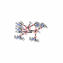 CCCCC(CCCc1ccc(CCCC(C)(C(=O)OCCCOC2CC(C)(C)NC(C)(C)C2)C(=O)OCCCOC2CC(C)(C)NC(C)(C)C2)cc1CCCC(CCCC)(C(=O)OCCCOC1CC(C)(C)NC(C)(C)C1)C(=O)OCCCOC1CC(C)(C)NC(C)(C)C1)(C(=O)OCCCOC1CC(C)(C)NC(C)(C)C1)C(=O)OCCCOC1CC(C)(C)NC(C)(C)C1